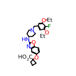 CCOc1cc(CN2CCC(Nc3nc4cc(OC5(C(=O)O)CCC5)ccc4o3)CC2)cc(OCC)c1F